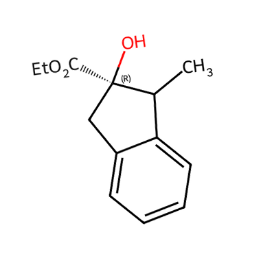 CCOC(=O)[C@@]1(O)Cc2ccccc2C1C